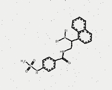 CCN(CC)C(CNC(=O)c1ccc(NS(C)(=O)=O)cc1)c1cccc2ccccc12